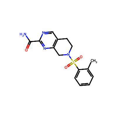 Cc1ccccc1S(=O)(=O)N1CCc2[c]nc(C(N)=O)nc2C1